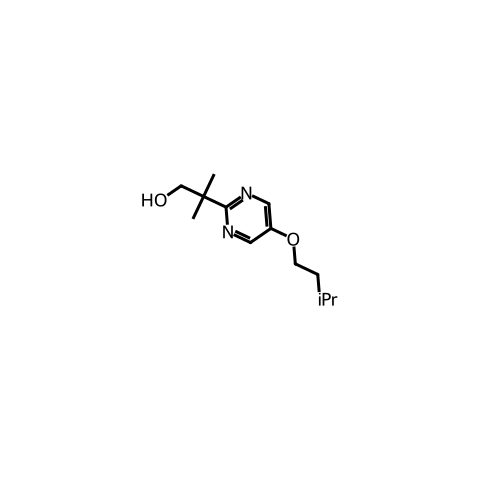 CC(C)CCOc1cnc(C(C)(C)CO)nc1